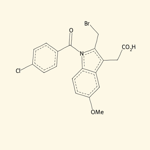 COc1ccc2c(c1)c(CC(=O)O)c(CBr)n2C(=O)c1ccc(Cl)cc1